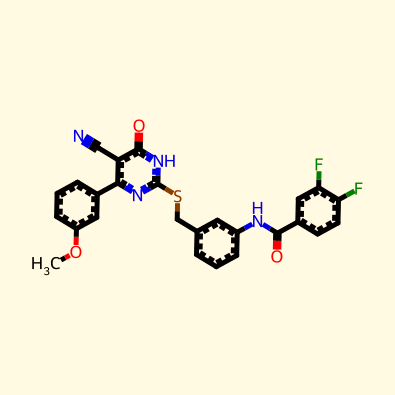 COc1cccc(-c2nc(SCc3cccc(NC(=O)c4ccc(F)c(F)c4)c3)[nH]c(=O)c2C#N)c1